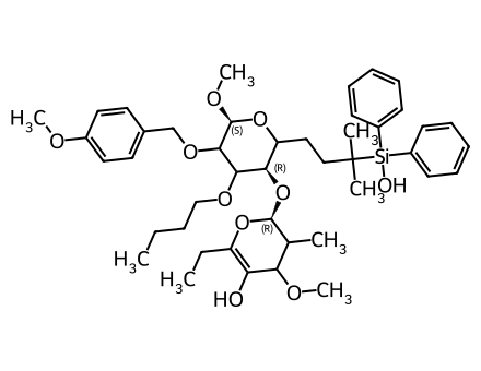 CCCCOC1C(OCc2ccc(OC)cc2)[C@@H](OC)OC(CCC(C)(C)[Si](O)(c2ccccc2)c2ccccc2)[C@H]1O[C@@H]1OC(CC)=C(O)C(OC)C1C